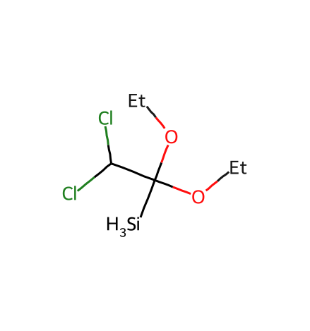 CCOC([SiH3])(OCC)C(Cl)Cl